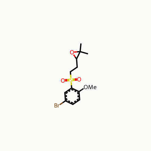 COc1ccc(Br)cc1S(=O)(=O)CCC1OC1(C)C